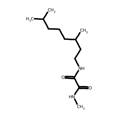 CNC(=O)C(=O)NCCC(C)CCCC(C)C